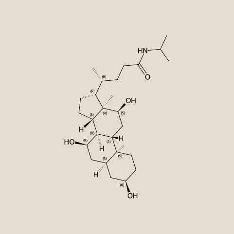 CC(C)NC(=O)CC[C@@H](C)[C@H]1CC[C@H]2[C@@H]3[C@H](O)C[C@@H]4C[C@H](O)CC[C@]4(C)[C@H]3C[C@H](O)[C@]12C